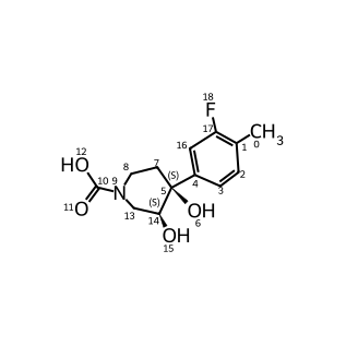 Cc1ccc([C@@]2(O)CCN(C(=O)O)C[C@@H]2O)cc1F